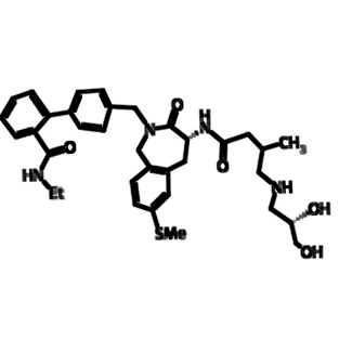 CCNC(=O)c1ccccc1-c1ccc(CN2Cc3ccc(SC)cc3C[C@@H](NC(=O)CC(C)CNC[C@H](O)CO)C2=O)cc1